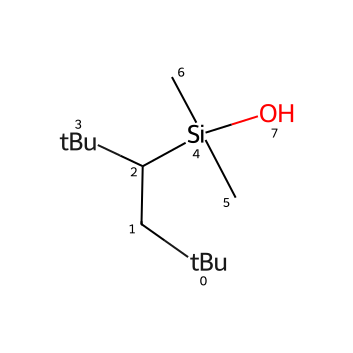 CC(C)(C)CC(C(C)(C)C)[Si](C)(C)O